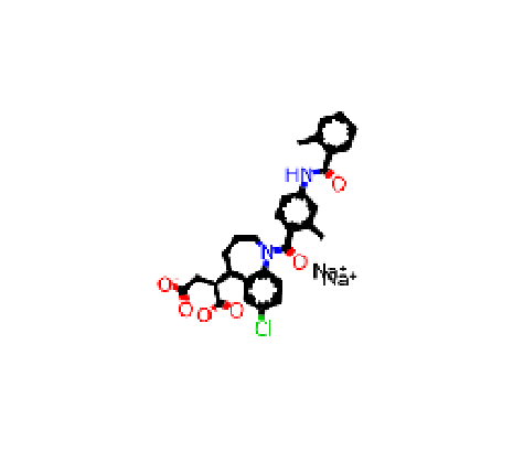 Cc1ccccc1C(=O)Nc1ccc(C(=O)N2CCCC(C(CC(=O)[O-])C(=O)[O-])c3cc(Cl)ccc32)c(C)c1.[Na+].[Na+]